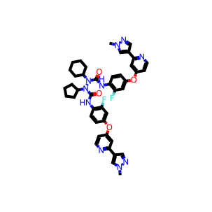 Cn1cc(-c2cc(Oc3ccc(NC(=O)N(C4CCCCC4)N(C(=O)Nc4ccc(Oc5ccnc(-c6cnn(C)c6)c5)cc4F)C4CCCC4)c(F)c3)ccn2)cn1